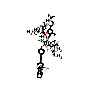 COC(=O)N[C@H](C(=O)N[C@@H](Cc1ccc(C#Cc2cnc(N3CC4CCC(C3)N4C3COC3)c(C)c2)cc1)[C@@H](O)CN(Cc1c(F)cc(C(=N)/C=C\NC(F)F)cc1F)NC(=O)[C@@H](NC(=O)OC)C(C)(C)C(F)(F)F)C(C)(C)C(F)(F)F